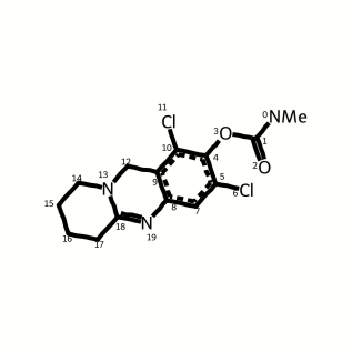 CNC(=O)Oc1c(Cl)cc2c(c1Cl)CN1CCCCC1=N2